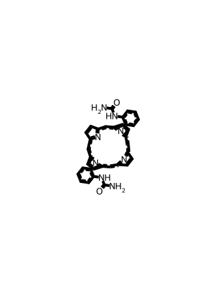 NC(=O)Nc1ccccc1-n1c2ccc1cc1nc(cc3ccc(cc4nc(c2)C=C4)n3-c2ccccc2NC(N)=O)C=C1